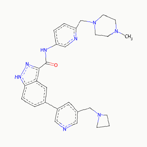 CN1CCN(Cc2ccc(NC(=O)c3n[nH]c4ccc(-c5cncc(CN6CCC6)c5)cc34)cn2)CC1